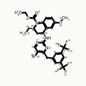 CCOC(=O)N1c2ccc(OC)cc2[C@@H](Nc2ncc(Br)c(Cc3cc(C(F)(F)F)cc(C(F)(F)F)c3)n2)C[C@H]1CC